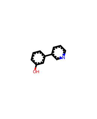 Oc1cccc(-c2[c]nccc2)c1